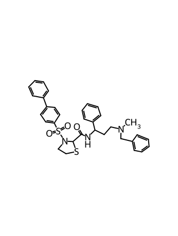 CN(CCC(NC(=O)C1SCCN1S(=O)(=O)c1ccc(-c2ccccc2)cc1)c1ccccc1)Cc1ccccc1